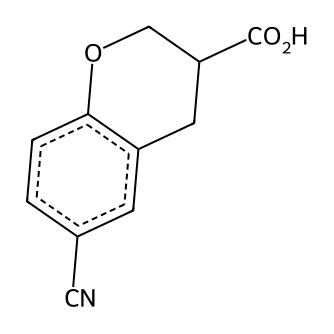 N#Cc1ccc2c(c1)CC(C(=O)O)CO2